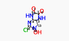 O=c1[nH]c2c([nH]c1=O)N=C(Cl)N(O)C2